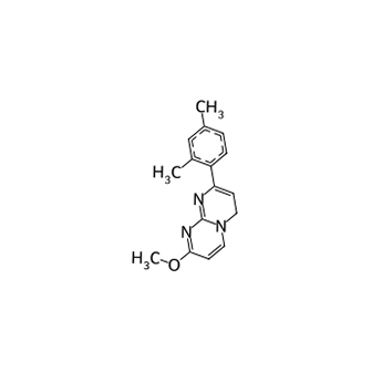 COC1=NC2=NC(c3ccc(C)cc3C)=CCN2C=C1